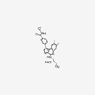 Cc1cc2nc(NC[C@@H](O)CO)c3ncc(-c4ccc(C(=O)NC5CC5)cc4)n3c2cc1C